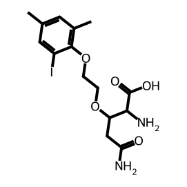 Cc1cc(C)c(OCCOC(CC(N)=O)C(N)C(=O)O)c(I)c1